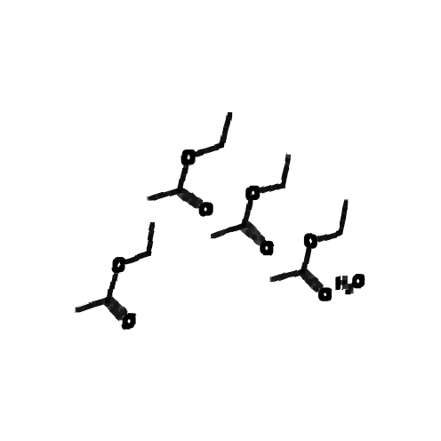 CCOC(C)=O.CCOC(C)=O.CCOC(C)=O.CCOC(C)=O.O